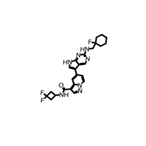 O=C(NC1CC(F)(F)C1)c1cnn2ccc(-c3c[nH]c4nc(NCC5(F)CCCCC5)ncc34)cc12